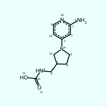 Nc1cc(N2CCC(CNC(=O)O)C2)ccn1